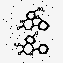 CN1C(=O)CN=C(c2ccccc2)c2cc(Cl)ccc21.O=C1CN=C(c2ccccc2Cl)c2cc([N+](=O)[O-])ccc2N1